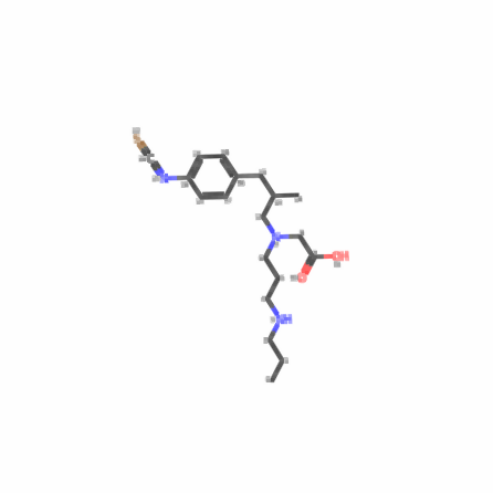 CCCNCCCN(CC(=O)O)CC(C)Cc1ccc(N=C=S)cc1